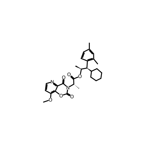 COc1ccnc2c(=O)n([C@@H](C)C(=O)O[C@@H](C)[C@@H](c3ccc(C)cc3C)C3CCCCC3)c(=O)oc12